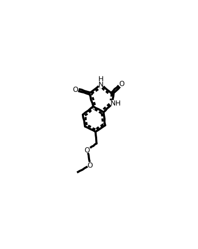 COOCc1ccc2c(=O)[nH]c(=O)[nH]c2c1